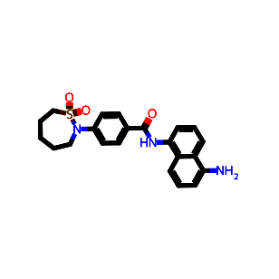 Nc1cccc2c(NC(=O)c3ccc(N4CCCCCS4(=O)=O)cc3)cccc12